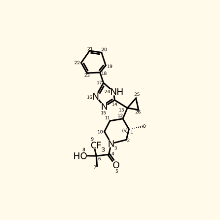 C[C@@H]1CN(C(=O)C(C)(O)C(F)(F)F)CCC1C1(c2nnc(-c3ccccc3)[nH]2)CC1